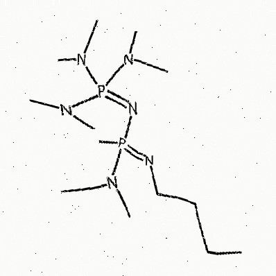 CCCCN=P(C)(N=P(N(C)C)(N(C)C)N(C)C)N(C)C